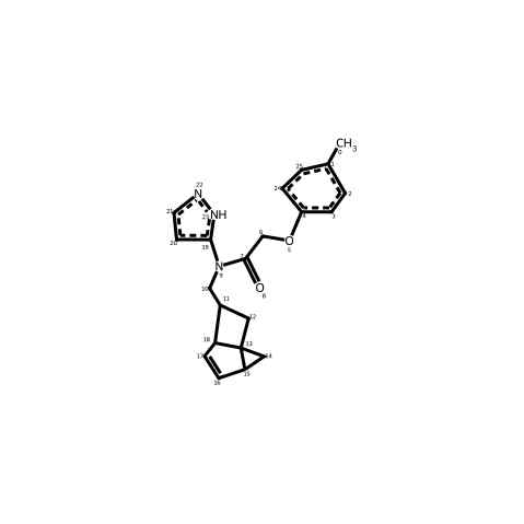 Cc1ccc(OCC(=O)N(CC2CC34CC3C=CC24)c2ccn[nH]2)cc1